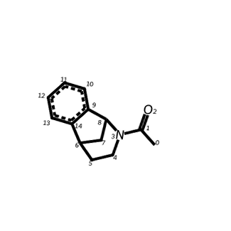 CC(=O)N1CCC2CC1c1ccccc12